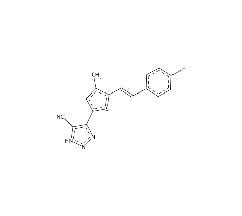 Cc1cc(-c2nn[nH]c2C#N)sc1/C=C/c1ccc(F)cc1